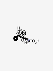 NC1SC(c2ccccc2)=C(COC(=O)CO/N=C(\S)C(=O)O)N1c1conn1